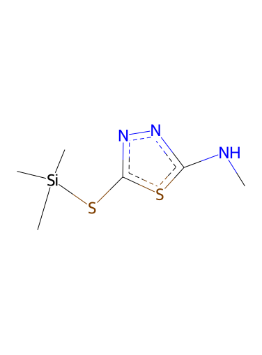 CNc1nnc(S[Si](C)(C)C)s1